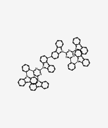 c1ccc(-n2c3ccccc3c3ccccc32)c(-c2cc(-n3c4ccccc4c4ccccc43)nc(-n3c4ccccc4c4c(-c5ccc6c(c5)c5ccccc5n6-c5nc(-c6ccccc6-n6c7ccccc7c7ccccc76)nc(-n6c7ccccc7c7ccccc76)n5)cccc43)n2)c1